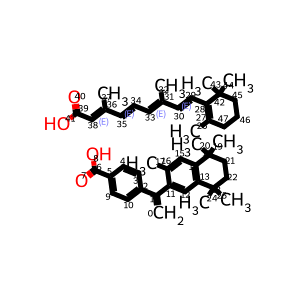 C=C(c1ccc(C(=O)O)cc1)c1cc2c(cc1C)C(C)(C)CCC2(C)C.CC1=C(/C=C/C(C)=C/C=C/C(C)=C/C(=O)O)C(C)(C)CCC1